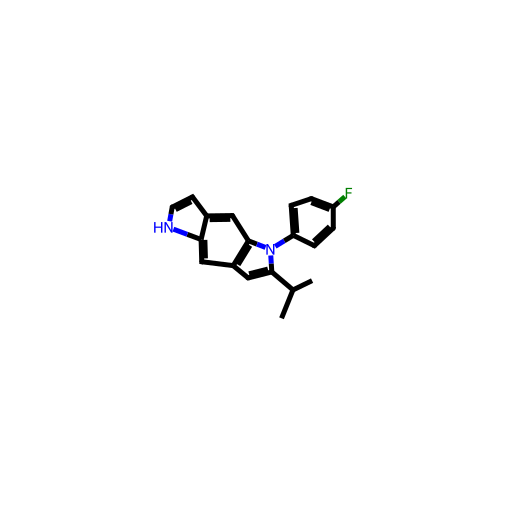 CC(C)c1cc2cc3[nH]ccc3cc2n1-c1ccc(F)cc1